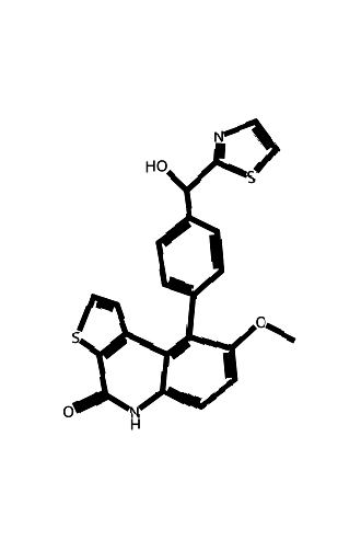 COc1ccc2[nH]c(=O)c3sccc3c2c1-c1ccc(C(O)c2nccs2)cc1